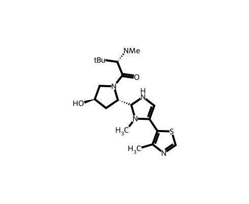 CN[C@H](C(=O)N1C[C@H](O)C[C@H]1C1NC=C(c2scnc2C)N1C)C(C)(C)C